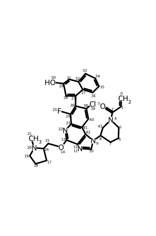 C=CC(=O)N1CCCC(n2cnc3c(OCC4CCCN4C)nc4c(F)c(-c5cc(O)cc6ccccc56)c(Cl)cc4c32)C1